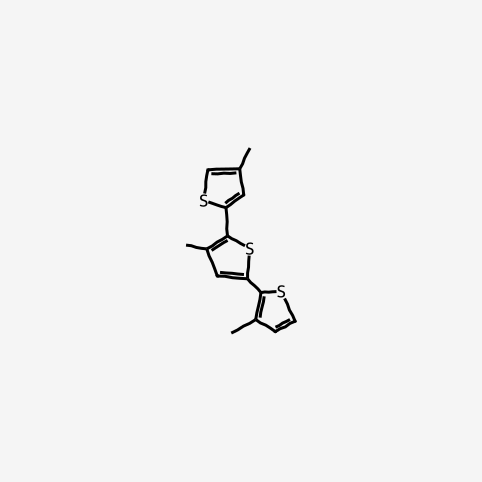 Cc1csc(-c2sc(-c3sccc3C)cc2C)c1